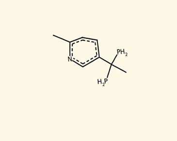 Cc1ccc(C(C)(P)P)cn1